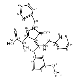 COc1cccc(CC(NCc2ccccn2)=C2C(=O)N(Cc3ccccc3)N=C2C(C)C(=O)O)c1